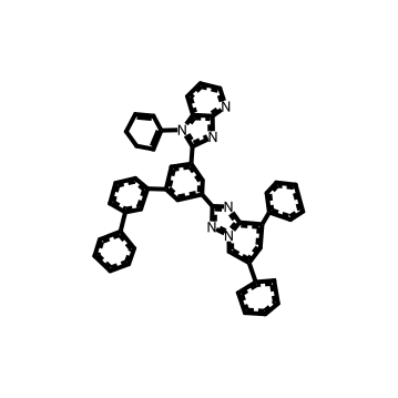 C1=CC(n2c(-c3cc(-c4cccc(-c5ccccc5)c4)cc(-c4nc5c(-c6ccccc6)cc(-c6ccccc6)cn5n4)c3)nc3ncccc32)=CCC1